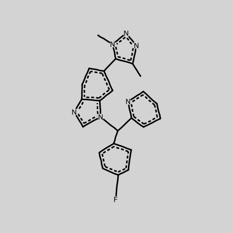 Cc1nnn(C)c1-c1ccc2ncn(C(c3ccc(F)cc3)c3ccccn3)c2c1